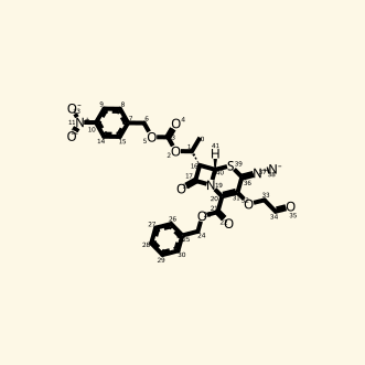 CC(OC(=O)OCc1ccc([N+](=O)[O-])cc1)[C@H]1C(=O)N2C(C(=O)OCc3ccccc3)=C(OCC=O)C(=[N+]=[N-])S[C@@H]12